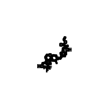 CCOC(=O)C(C)(O)Cn1cc(CN2CC[C@]3(C[C@@H]2C)OCCc2c3sc(C(F)(F)F)c2CO)cn1